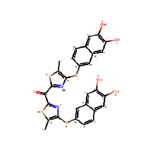 Cc1sc(C(=O)c2nc(Sc3ccc4cc(O)c(O)cc4c3)c(C)s2)nc1Sc1ccc2cc(O)c(O)cc2c1